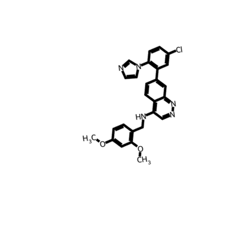 COc1ccc(CNc2cnnc3cc(-c4cc(Cl)ccc4-n4ccnc4)ccc23)c(OC)c1